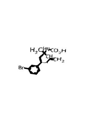 C=CC[C@@H](CC(C)(C)NC(=O)O)c1cccc(Br)c1